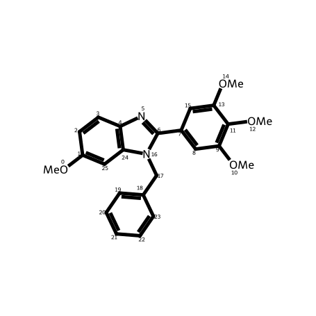 COc1ccc2nc(-c3cc(OC)c(OC)c(OC)c3)n(Cc3ccccc3)c2c1